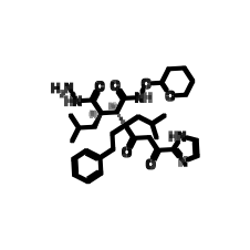 CC(C)C[C@@H](C(=O)NN)[C@H](C(=O)NOC1CCCCO1)C(CCc1ccccc1)(CC(C)C)C(=O)CC(=O)c1ncc[nH]1